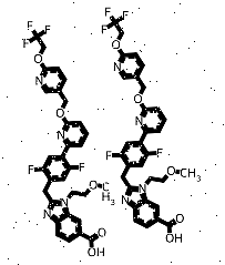 COCCn1c(Cc2cc(F)c(-c3cccc(OCc4ccc(OCC(F)(F)F)nc4)n3)cc2F)nc2ccc(C(=O)O)cc21.COCCn1c(Cc2cc(F)c(-c3cccc(OCc4ccc(OCC(F)(F)F)nc4)n3)cc2F)nc2ccc(C(=O)O)cc21